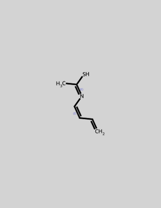 C=C/C=C\N=C(/C)S